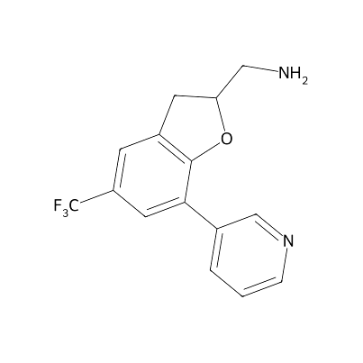 NCC1Cc2cc(C(F)(F)F)cc(-c3cccnc3)c2O1